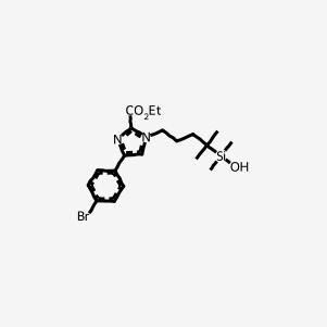 CCOC(=O)c1nc(-c2ccc(Br)cc2)cn1CCCC(C)(C)[Si](C)(C)O